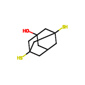 OC12CC3CC(S)(C1)CC(S)(C3)C2